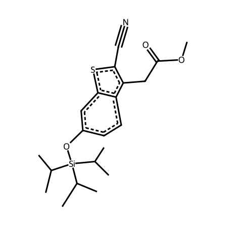 COC(=O)Cc1c(C#N)sc2cc(O[Si](C(C)C)(C(C)C)C(C)C)ccc12